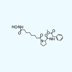 COC(=O)[C@@H](NC(=O)C1CCCN1C(=O)CCCCCCC(=O)NO)c1ccccc1